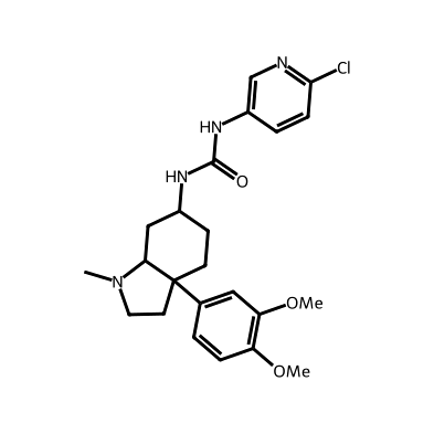 COc1ccc(C23CCC(NC(=O)Nc4ccc(Cl)nc4)CC2N(C)CC3)cc1OC